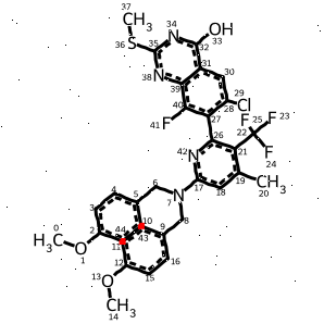 COc1ccc(CN(Cc2ccc(OC)cc2)c2cc(C)c(C(F)(F)F)c(-c3c(Cl)cc4c(O)nc(SC)nc4c3F)n2)cc1